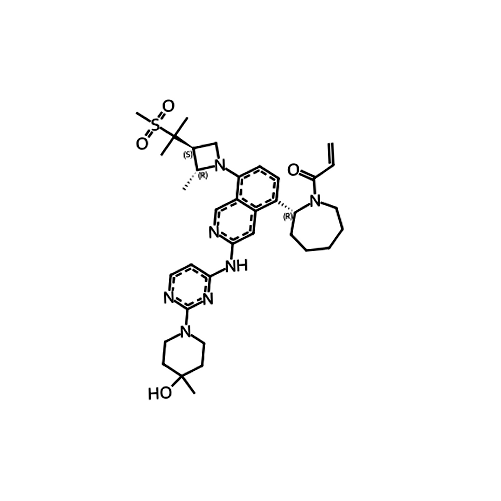 C=CC(=O)N1CCCCC[C@@H]1c1ccc(N2C[C@H](C(C)(C)S(C)(=O)=O)[C@H]2C)c2cnc(Nc3ccnc(N4CCC(C)(O)CC4)n3)cc12